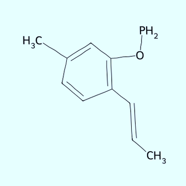 C/C=C/c1ccc(C)cc1OP